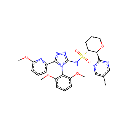 COc1cccc(-c2nnc(NS(=O)(=O)[C@@H]3CCCO[C@H]3c3ncc(C)cn3)n2-c2c(OC)cccc2OC)n1